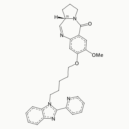 COc1cc2c(cc1OCCCCCn1c(-c3ccccn3)nc3ccccc31)N=C[C@@H]1CCCN1C2=O